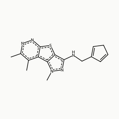 Cc1nnc2sc3c(NCC4=CCC=C4)nn(C)c3c2c1C